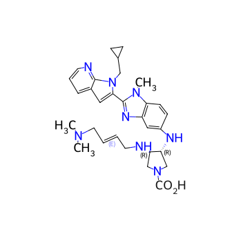 CN(C)C/C=C/CN[C@@H]1CN(C(=O)O)C[C@H]1Nc1ccc2c(c1)nc(-c1cc3cccnc3n1CC1CC1)n2C